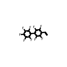 C=Cc1c(F)c(F)c(-c2c(F)c(F)c(F)c(F)c2F)c(F)c1F